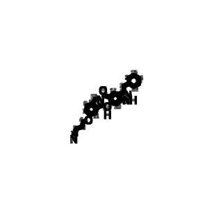 N#CCCCOc1ccc2c(c1)CN(C(=O)c1cc3c(CC4CCCCC4)n[nH]c3cc1O)C2